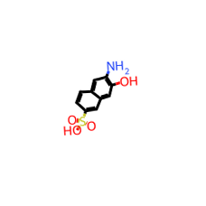 Nc1cc2ccc(S(=O)(=O)O)cc2cc1O